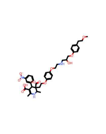 COCCc1ccc(OCC(O)CNCCOc2ccc(OCCC3(C(=O)O)C(C)NC(C)=C(C(=O)O)C3c3cccc([N+](=O)[O-])c3)cc2)cc1